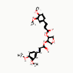 COc1ccc(C=CC(=O)OC2COCC2OC(=O)/C=C/c2ccc(OC)c(OC)c2)cc1OC